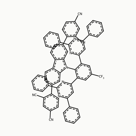 N#Cc1ccc(-c2ccc3c4ccc(-c5ccc(C#N)cc5C#N)cc4n(-c4c(-c5cc(-c6ccccc6)nc(-c6ccccc6)n5)cc(C(F)(F)F)cc4-c4cc(-c5ccccc5)nc(-c5ccccc5)n4)c3c2)c(C#N)c1